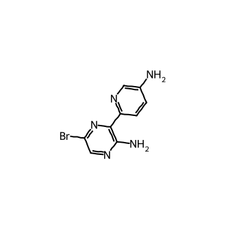 Nc1ccc(-c2nc(Br)cnc2N)nc1